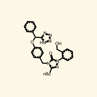 CCCCc1nn(-c2ccccc2CO)c(=O)n1Cc1ccc(OC(c2ccccc2)c2nnn[nH]2)cc1